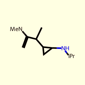 C=C(NC)C(C)C1CC1NC(C)C